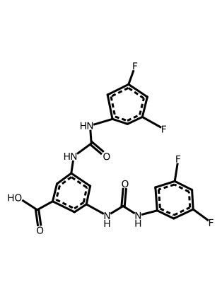 O=C(Nc1cc(F)cc(F)c1)Nc1cc(NC(=O)Nc2cc(F)cc(F)c2)cc(C(=O)O)c1